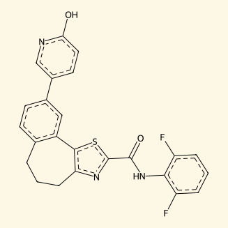 O=C(Nc1c(F)cccc1F)c1nc2c(s1)-c1cc(-c3ccc(O)nc3)ccc1CCC2